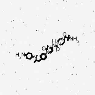 CC(Cc1ccc(-n2ccc(NC(=O)N3CCN(C(=O)C(C)(C)N)CC3)nc2=O)cc1)N(C)C1CCC(N)CC1